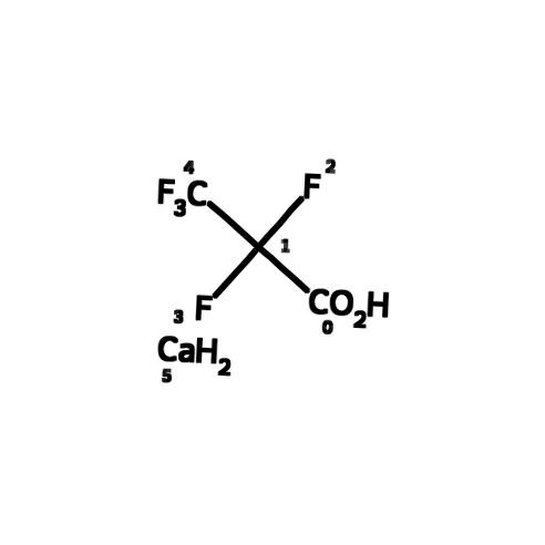 O=C(O)C(F)(F)C(F)(F)F.[CaH2]